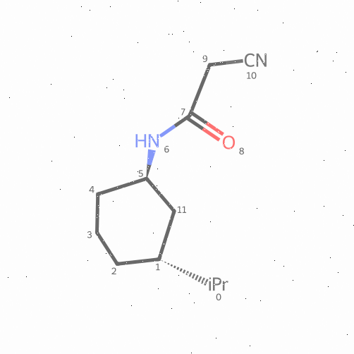 CC(C)[C@@H]1CCC[C@@H](NC(=O)CC#N)C1